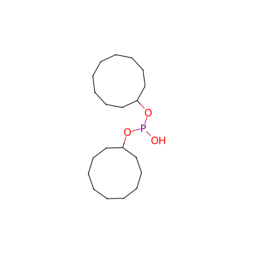 OP(OC1CCCCCCCCC1)OC1CCCCCCCCC1